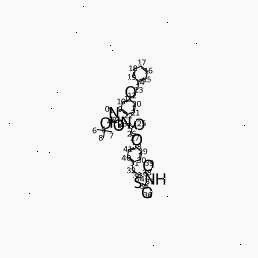 CN(C(=O)OC(C)(C)C)c1cc(OCc2ccccc2)ccc1NC(=O)COc1ccc(CC2SC(=O)NC2=O)cc1